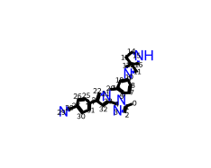 Cc1cnc2n1-c1ccc(N3CC4(CCNC4)C3)cc1Cn1cc(-c3ccc(C#N)cc3)cc1-2